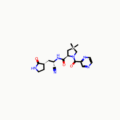 C[Si]1(C)C[C@H](C(=O)N[C@H](C#N)C[C@@H]2CCNC2=O)N(C(=O)c2cnccn2)C1